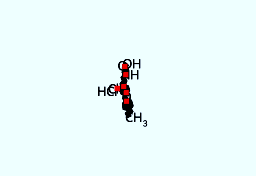 CCCc1ccc(COc2ccc(/C=C/CNCCC(=O)O)c(Cl)c2)cc1.Cl